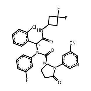 N#Cc1cncc(N2C(=O)CC[C@H]2C(=O)N(c2cccc(F)c2)[C@H](C(=O)NC2CC(F)(F)C2)c2ccccc2Cl)c1